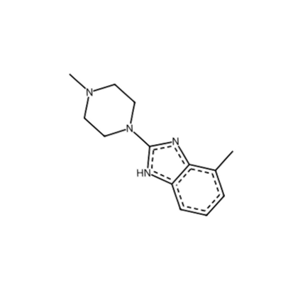 Cc1cccc2[nH]c(N3CCN(C)CC3)nc12